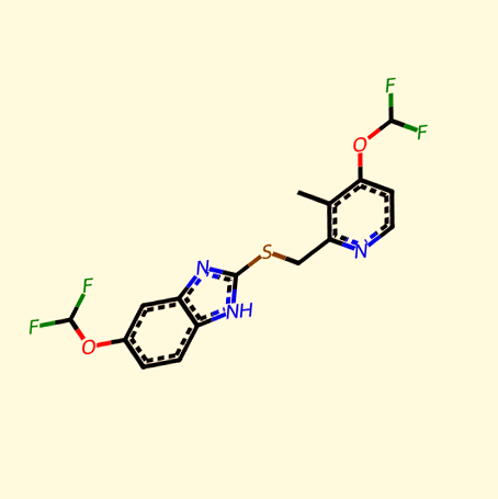 Cc1c(OC(F)F)ccnc1CSc1nc2cc(OC(F)F)ccc2[nH]1